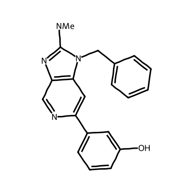 CNc1nc2cnc(-c3cccc(O)c3)cc2n1Cc1ccccc1